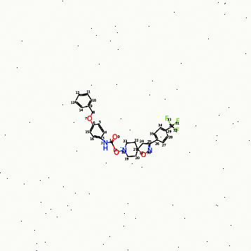 O=C(Nc1ccc(OCc2ccccc2)cc1)ON1CCC2(CC1)CC(c1ccc(C(F)(F)F)cc1)=NO2